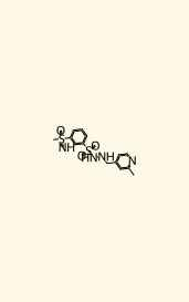 Cc1cc(CNNS(=O)(=O)c2cccc(S(C)(=N)=O)c2)ccn1